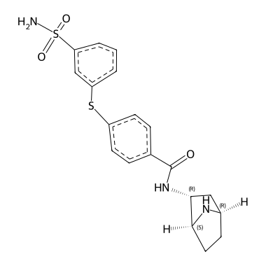 NS(=O)(=O)c1cccc(Sc2ccc(C(=O)N[C@@H]3C[C@H]4CC[C@@H]3N4)cc2)c1